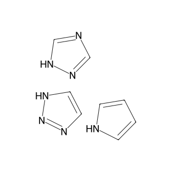 c1c[nH]nn1.c1cc[nH]c1.c1nc[nH]n1